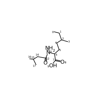 CCC(C)CCC(C(=O)O)N(N)C(=O)CC(C)C